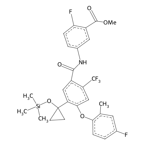 COC(=O)c1cc(NC(=O)c2cc(C3(O[Si](C)(C)C)CC3)c(Oc3ccc(F)cc3C)cc2C(F)(F)F)ccc1F